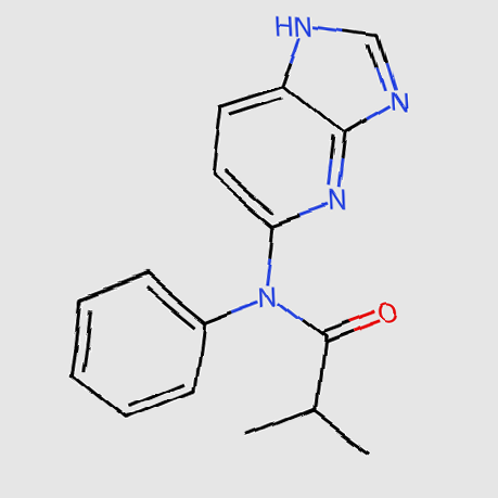 CC(C)C(=O)N(c1ccccc1)c1ccc2[nH]cnc2n1